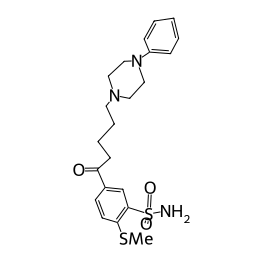 CSc1ccc(C(=O)CCCCN2CCN(c3ccccc3)CC2)cc1S(N)(=O)=O